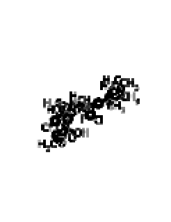 COC[C@H](NC(=O)[C@H](C)NCc1c(F)cc(Cl)cc1Oc1ccc(-c2cnc(CN(C)C(=O)OC(C)(C)C)n2C)cc1)C(=O)N(C)[C@@]1(Cc2ccc(Cl)cc2)CCCN(C(=O)[C@@H](CC(=O)O)Cc2cccc(C)[n+]2[O-])C1